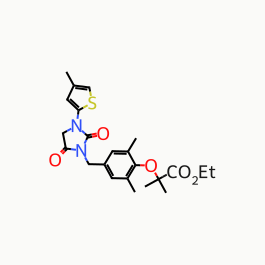 CCOC(=O)C(C)(C)Oc1c(C)cc(CN2C(=O)CN(c3cc(C)cs3)C2=O)cc1C